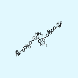 Nc1ccc(-c2ccc(N)cc2CC(=O)/C=C/c2ccc(C(=O)Oc3ccc(OCCCC(F)(F)C(F)(F)F)cc3)cc2)c(CC(=O)/C=C/c2ccc(C(=O)Oc3ccc(OCCCC(F)(F)C(F)(F)F)cc3)cc2)c1